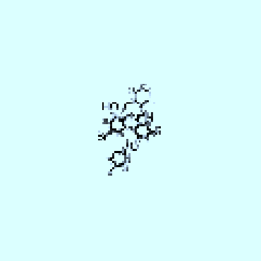 Cc1ccc(COc2cc(Cl)c3nc([C@@H]4CCCC[C@@H]4C(=O)O)n(Cc4ccc(Br)cc4)c3c2)nc1